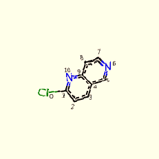 Clc1ccc2cnccc2n1